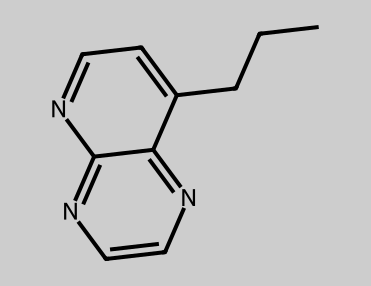 CCCc1ccnc2nccnc12